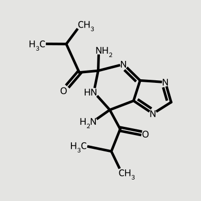 CC(C)C(=O)C1(N)N=C2N=CN=C2C(N)(C(=O)C(C)C)N1